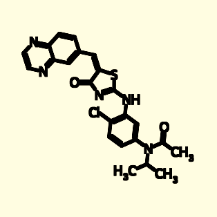 CC(=O)N(c1ccc(Cl)c(NC2=NC(=O)C(=Cc3ccc4nccnc4c3)S2)c1)C(C)C